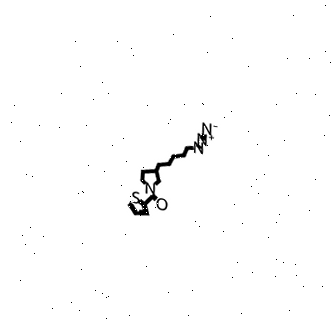 [N-]=[N+]=NCCCCCC1CCN(C(=O)c2cccs2)C1